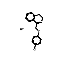 Cl.Clc1ccc(OCC2=NCCc3ccccc32)cc1